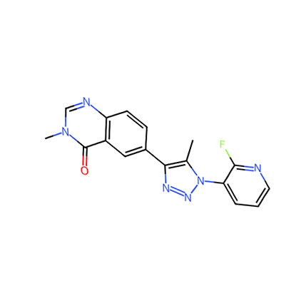 Cc1c(-c2ccc3ncn(C)c(=O)c3c2)nnn1-c1cccnc1F